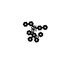 c1ccc(-c2ccc(-c3nc(-c4cccc(-c5ccccc5)c4)nc(-n4c5ccccc5c5c(-c6ccccc6)c6c7ccccc7n(-c7ccccc7)c6cc54)n3)cc2)cc1